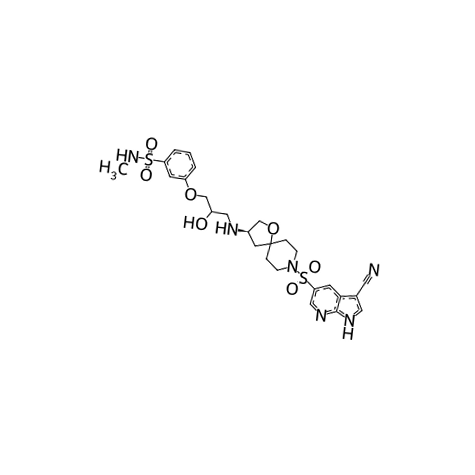 CNS(=O)(=O)c1cccc(OCC(O)CN[C@H]2COC3(CCN(S(=O)(=O)c4cnc5[nH]cc(C#N)c5c4)CC3)C2)c1